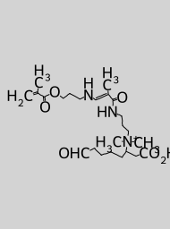 C=C(C)C(=O)OCCCNC=C(C)C(=O)NCCC[N+](C)(C)C(CCCCC=O)CC(=O)O